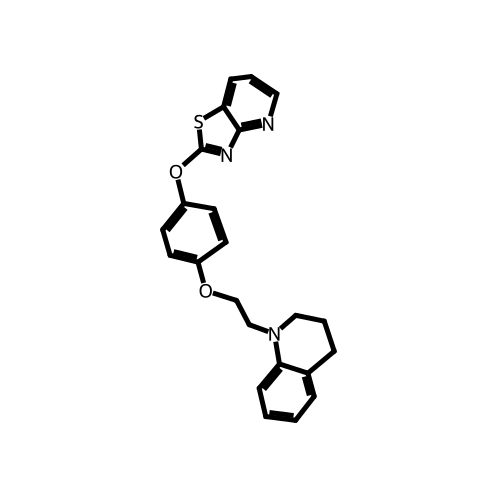 c1ccc2c(c1)CCCN2CCOc1ccc(Oc2nc3ncccc3s2)cc1